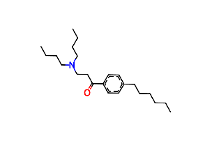 CCCCCCc1ccc(C(=O)CCN(CCCC)CCCC)cc1